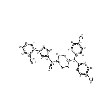 O=C(N1CCN(C(c2ccc(Cl)cc2)c2ccc(Cl)cc2)CC1)n1cc(-c2ccccc2C(F)(F)F)cn1